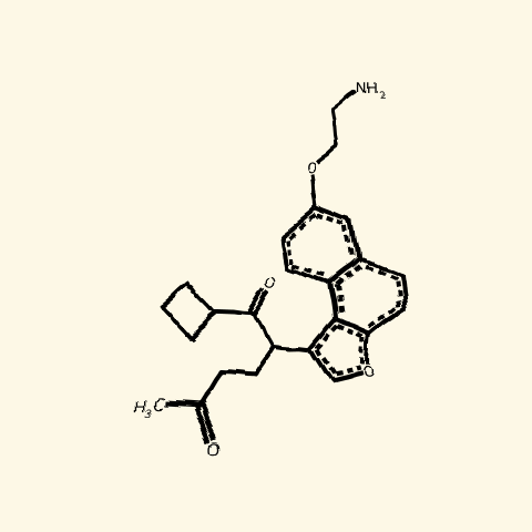 CC(=O)CCC(C(=O)C1CCC1)c1coc2ccc3cc(OCCN)ccc3c12